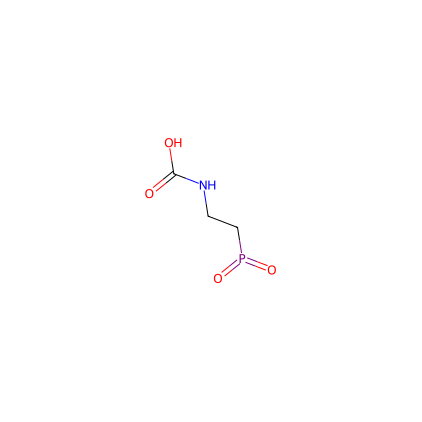 O=C(O)NCCP(=O)=O